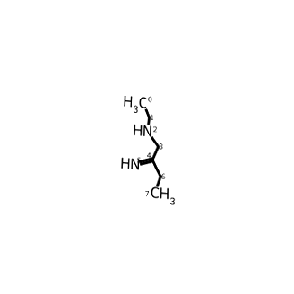 CCNCC(=N)CC